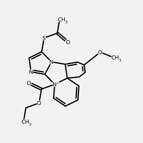 CCOC(=O)[N+]12C=CC=CC13CC=C(OC)C=C3n1c(SC(C)=O)cnc12